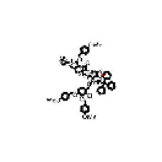 COc1ccc(COC(=O)C2=C(CSc3cnns3)CS[C@H]3C(NC(=O)/C(=N\OCc4ccc(OCc5ccc(OC)cc5)c(OCc5ccc(OC)cc5)c4Cl)C4=CSCN4NC(c4ccccc4)(c4ccccc4)c4ccccc4)C(=O)N23)cc1